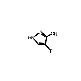 Oc1n[nH]cc1F